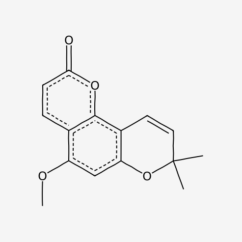 COc1cc2c(c3oc(=O)ccc13)C=CC(C)(C)O2